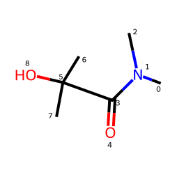 CN(C)C(=O)C(C)(C)O